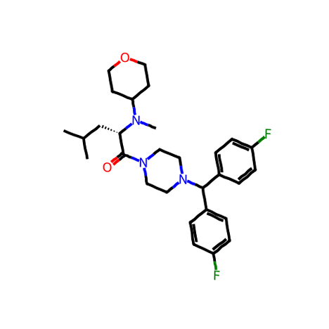 CC(C)C[C@@H](C(=O)N1CCN(C(c2ccc(F)cc2)c2ccc(F)cc2)CC1)N(C)C1CCOCC1